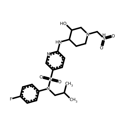 CC(C)CN(c1ccc(F)cc1)S(=O)(=O)c1ccc(NC2CCN(C[SH](=O)=O)CC2O)nc1